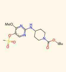 COc1nc(NC2CCN(C(=O)OC(C)(C)C)CC2)ncc1OS(C)(=O)=O